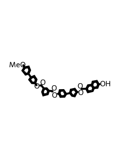 COc1ccc(-c2ccc(OC(=O)c3cccc(C(=O)Oc4ccc(-c5ccc(OC(=O)c6ccc7cc(O)ccc7c6)cc5)cc4)c3)cc2)cc1